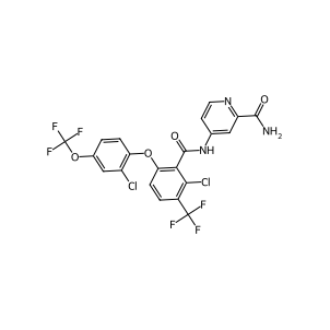 NC(=O)c1cc(NC(=O)c2c(Oc3ccc(OC(F)(F)F)cc3Cl)ccc(C(F)(F)F)c2Cl)ccn1